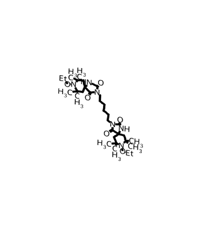 CCON1C(C)(C)CC2(CC1(C)C)NC(=O)N(CCCCCCN1C(=O)NC3(CC(C)(C)N(OCC)C(C)(C)C3)C1=O)C2=O